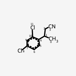 CC(CC#N)c1ccc(Cl)cc1Cl